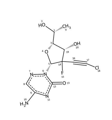 C[C@@H](O)[C@H]1O[C@@H](n2ncc(N)nc2=O)C(F)(C#CCl)[C@H]1O